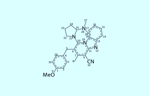 COc1ccc(Cc2c(C)c(C#N)c3nc4ccccc4n3c2N2CCCC2N(C)C)cc1